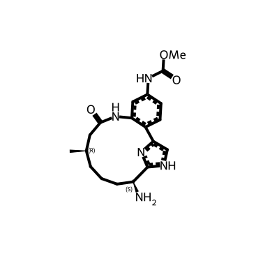 COC(=O)Nc1ccc2c(c1)NC(=O)C[C@H](C)CCC[C@H](N)c1nc-2c[nH]1